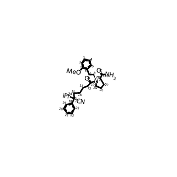 COc1ccccc1CC[N@+]1(C(=O)CCCC[C@@](C#N)(c2ccccc2)C(C)C)CCCC1C(N)=O